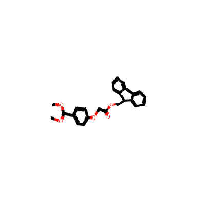 COC(OC)c1ccc(OCC(=O)OCC2c3ccccc3-c3ccccc32)cc1